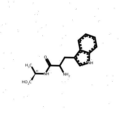 C[C@@H](NC(=O)C(N)Cc1c[nH]c2ccccc12)C(=O)O